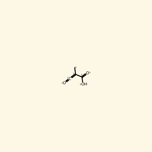 CC(=C=O)C(=O)O